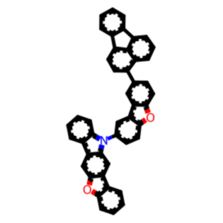 c1ccc2c(c1)-c1cccc3c(-c4ccc5oc6ccc(-n7c8ccccc8c8cc9oc%10ccccc%10c9cc87)cc6c5c4)ccc-2c13